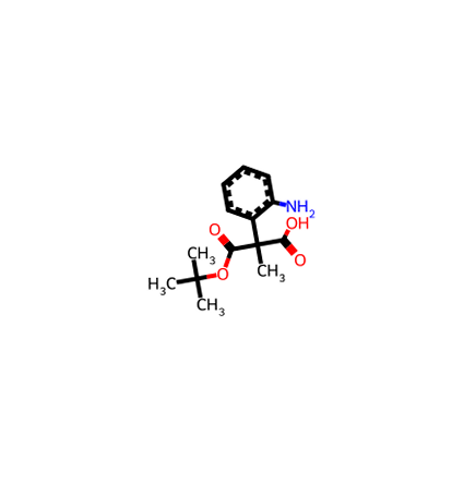 CC(C)(C)OC(=O)C(C)(C(=O)O)c1ccccc1N